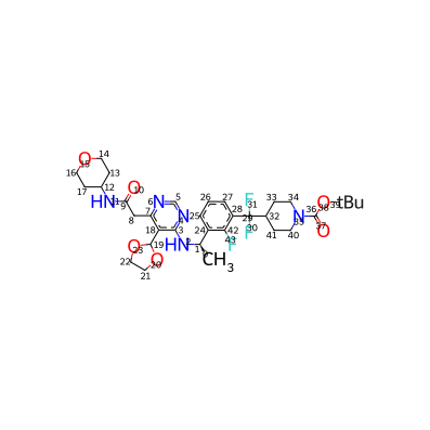 C[C@@H](Nc1ncnc(CC(=O)NC2CCOCC2)c1C1OCCO1)c1cccc(C(F)(F)C2CCN(C(=O)OC(C)(C)C)CC2)c1F